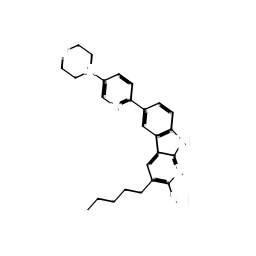 CCCCCc1cc2c(nc1N)[nH]c1ccc(-c3ccc(N4CCOCC4)cn3)cc12